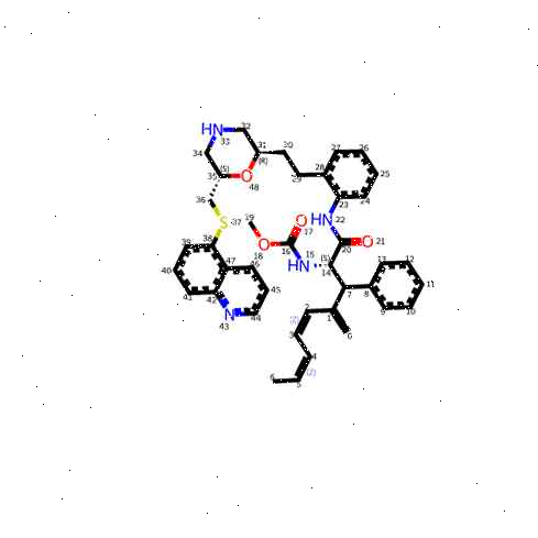 C=C(/C=C\C=C/C)C(c1ccccc1)[C@H](NC(=O)OC)C(=O)Nc1ccccc1CC[C@@H]1CNC[C@@H](CSc2cccc3ncccc23)O1